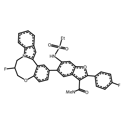 CCS(=O)(=O)Nc1cc2oc(-c3ccc(F)cc3)c(C(=O)NC)c2cc1-c1ccc2c(c1)-c1cc3ccccc3n1CC(F)CO2